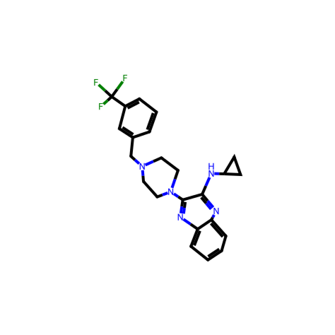 FC(F)(F)c1cccc(CN2CCN(c3nc4ccccc4nc3NC3CC3)CC2)c1